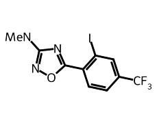 CNc1noc(-c2ccc(C(F)(F)F)cc2I)n1